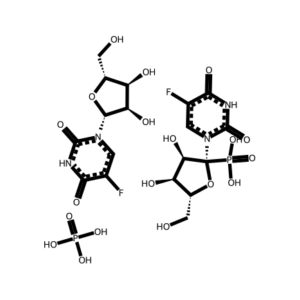 O=P(O)(O)O.O=c1[nH]c(=O)n([C@@H]2O[C@H](CO)[C@@H](O)[C@H]2O)cc1F.O=c1[nH]c(=O)n([C@]2(P(=O)(O)O)O[C@H](CO)[C@@H](O)[C@H]2O)cc1F